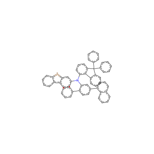 c1ccc(-c2ccc(-c3cccc4ccccc34)cc2N(c2ccc3c(c2)sc2ccccc23)c2cccc3c2-c2ccccc2C3(c2ccccc2)c2ccccc2)cc1